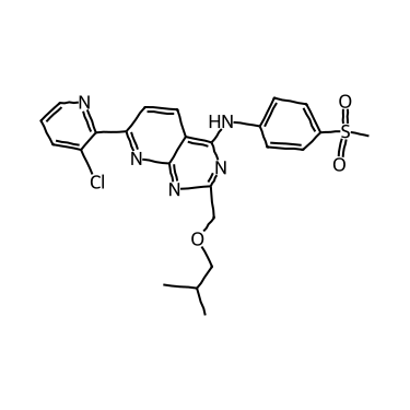 CC(C)COCc1nc(Nc2ccc(S(C)(=O)=O)cc2)c2ccc(-c3ncccc3Cl)nc2n1